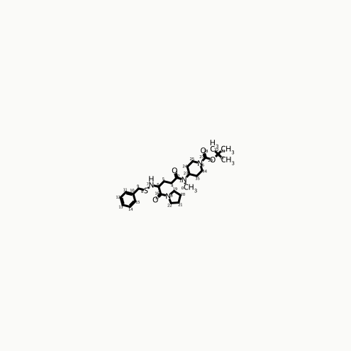 CN(C(=O)CCC(NSCc1ccccc1)C(=O)N1CCCC1)C1CCN(C(=O)OC(C)(C)C)CC1